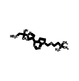 CCCC(C)(CC(=O)O)n1cc(-c2ncnc3c2ccn3COCC[Si](C)(C)C)cn1